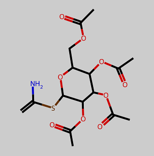 C=C(N)SC1OC(COC(C)=O)C(OC(C)=O)C(OC(C)=O)C1OC(C)=O